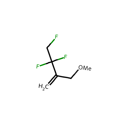 C=C(COC)C(F)(F)CF